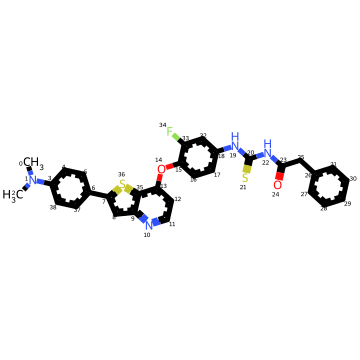 CN(C)c1ccc(-c2cc3nccc(Oc4ccc(NC(=S)NC(=O)Cc5ccccc5)cc4F)c3s2)cc1